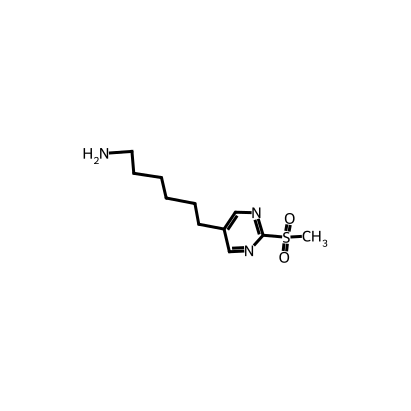 CS(=O)(=O)c1ncc(CCCCCCN)cn1